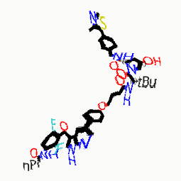 CCCC(=O)Nc1ccc(F)c(C(=O)c2c[nH]c3ncc(-c4ccc(OCCCC(=O)N[C@H](C(=O)N5C[C@H](O)C[C@H]5C(=O)NCc5ccc(-c6scnc6C)cc5)C(C)(C)C)cc4)cc23)c1F